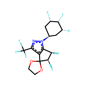 F[C@@H]1[C@H](F)C[C@@H](n2nc(C(F)(F)F)c3c2[C@@H](F)[C@@H](F)C32OCCO2)C[C@@H]1F